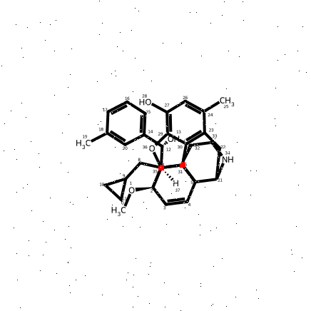 CO[C@]12C=CC3(CC1(CC1CC1)[C@@H](O)c1cccc(C)c1)C1Cc4c(C)cc(O)c5c4[C@@]3(CCN1)[C@@H]2O5